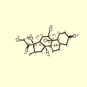 CC1C[C@H]2[C@@H]3CCC4CC(=O)CC[C@]4(C)[C@@]3(Cl)C(Cl)C[C@]2(C)[C@@]1(O)C(=O)CCl